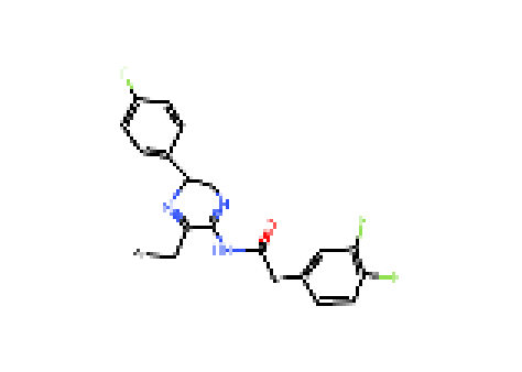 CC(C)CC1=NC(c2ccc(F)cc2)CN=C1NC(=O)Cc1ccc(F)c(F)c1